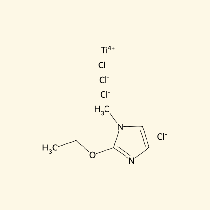 CCOc1nccn1C.[Cl-].[Cl-].[Cl-].[Cl-].[Ti+4]